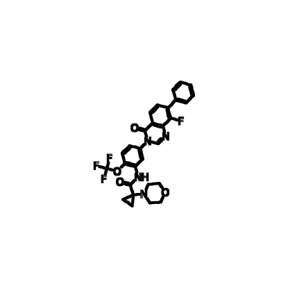 O=C(Nc1cc(-n2cnc3c(F)c(-c4ccccc4)ccc3c2=O)ccc1OC(F)(F)F)C1(N2CCOCC2)CC1